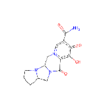 NC(=O)c1cn2c(c(O)c1=O)C(=O)N1CC3CCCN3C1C2